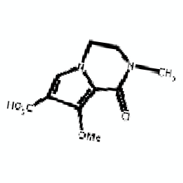 COc1c(C(=O)O)cn2c1C(=O)N(C)CC2